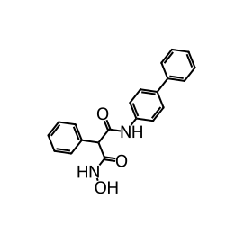 O=C(NO)C(C(=O)Nc1ccc(-c2ccccc2)cc1)c1ccccc1